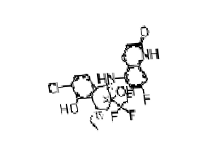 CC[C@H]1C[C@@](O)(C(F)(F)F)[C@@H](Nc2cc(F)cc3[nH]c(=O)ccc23)c2ccc(Cl)c(O)c21